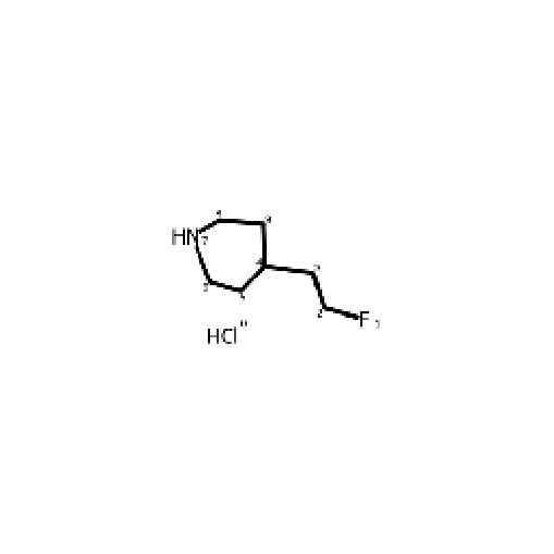 Cl.FCCC1CCNCC1